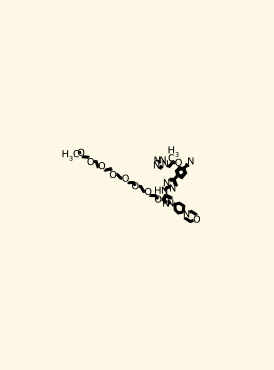 COCCOCCOCCOCCOCCOCCOCCOc1nn(C2CCC(N3CCOCC3)CC2)cc1Nc1ncc(-c2ccc(C#N)c(O[C@@H](C)Cn3cnnn3)c2)cn1